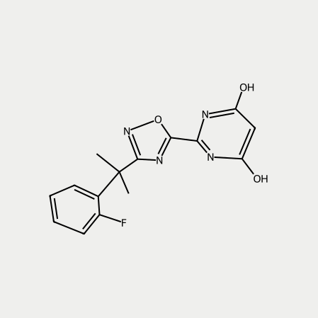 CC(C)(c1noc(-c2nc(O)cc(O)n2)n1)c1ccccc1F